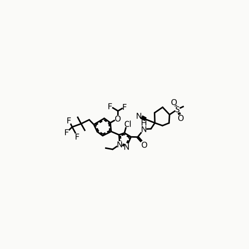 CCn1nc(C(=O)NCC2(C#N)CCC(S(C)(=O)=O)CC2)c(Cl)c1-c1ccc(CC(C)(C)C(F)(F)F)cc1OC(F)F